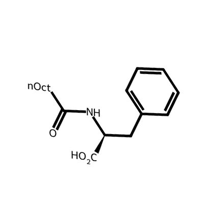 CCCCCCCCC(=O)N[C@@H](Cc1ccccc1)C(=O)O